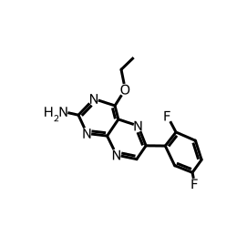 CCOc1nc(N)nc2ncc(-c3cc(F)ccc3F)nc12